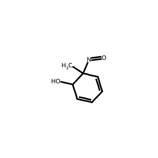 CC1(N=O)C=CC=CC1O